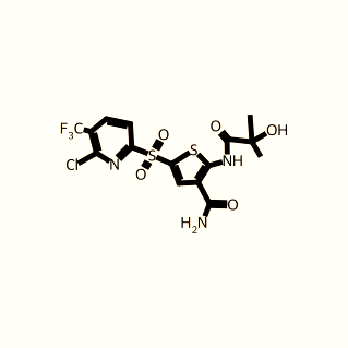 CC(C)(O)C(=O)Nc1sc(S(=O)(=O)c2ccc(C(F)(F)F)c(Cl)n2)cc1C(N)=O